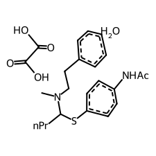 CCCC(Sc1ccc(NC(C)=O)cc1)N(C)CCc1ccccc1.O.O=C(O)C(=O)O